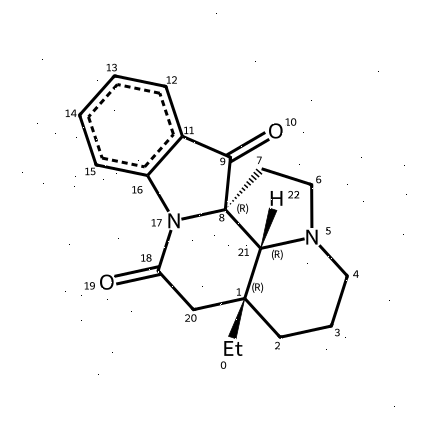 CC[C@@]12CCCN3CC[C@]4(C(=O)c5ccccc5N4C(=O)C1)[C@H]32